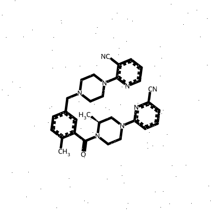 Cc1ccc(CN2CCN(c3ncccc3C#N)CC2)cc1C(=O)N1CCN(c2cccc(C#N)n2)C[C@@H]1C